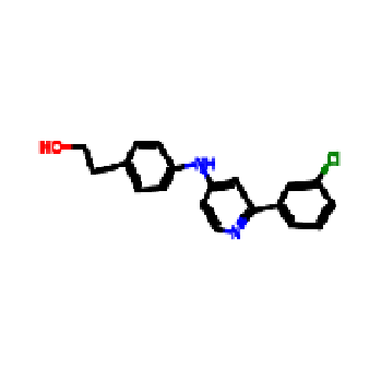 OCCc1ccc(Nc2ccnc(-c3cccc(Cl)c3)c2)cc1